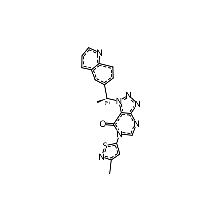 Cc1cc(-n2cnc3nnn([C@@H](C)c4ccc5ncccc5c4)c3c2=O)sn1